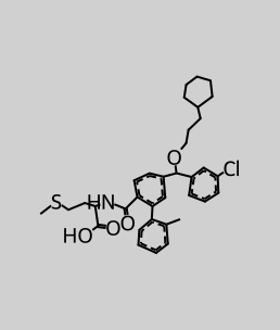 CSCCC(NC(=O)c1ccc(C(OCCCC2CCCCC2)c2cccc(Cl)c2)cc1-c1ccccc1C)C(=O)O